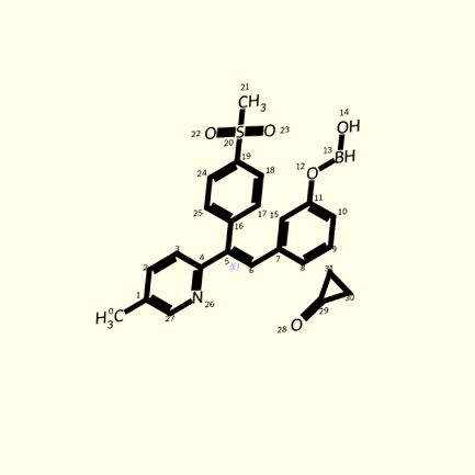 Cc1ccc(/C(=C/c2cccc(OBO)c2)c2ccc(S(C)(=O)=O)cc2)nc1.O=C1CC1